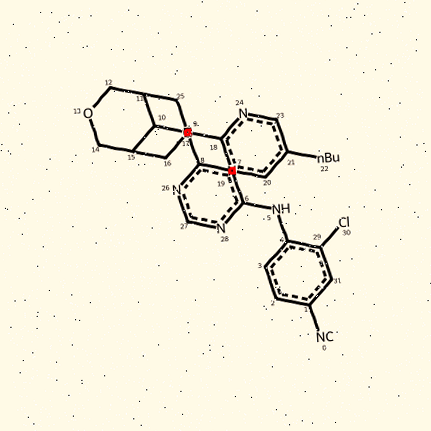 [C-]#[N+]c1ccc(Nc2cc(OC3C4COCC3CN(c3ncc(CCCC)cn3)C4)ncn2)c(Cl)c1